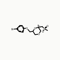 C[C@@]1(CS(C)(=O)=O)COCC(COc2ccc(Br)cc2)O1